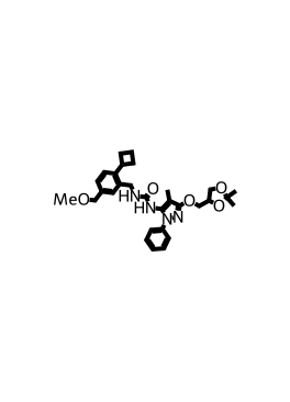 COCc1ccc(C2CCC2)c(CNC(=O)Nc2c(C)c(OCC3COC(C)(C)O3)nn2-c2ccccc2)c1